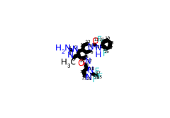 Cc1nc(N)nc(C2CCN(C(=O)Nc3c(F)cccc3F)CC2)c1-c1cnc(-c2ccnc(C(F)(F)F)n2)o1